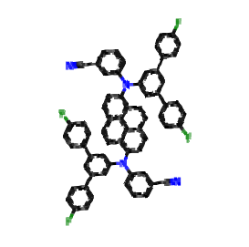 N#Cc1cccc(N(c2cc(-c3ccc(F)cc3)cc(-c3ccc(F)cc3)c2)c2ccc3ccc4c(N(c5cccc(C#N)c5)c5cc(-c6ccc(F)cc6)cc(-c6ccc(F)cc6)c5)ccc5ccc2c3c54)c1